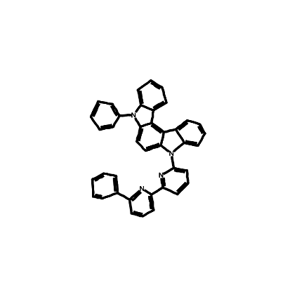 c1ccc(-c2cccc(-c3cccc(-n4c5ccccc5c5c6c7ccccc7n(-c7ccccc7)c6ccc54)n3)n2)cc1